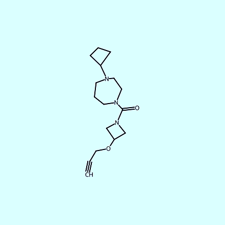 C#CCOC1CN(C(=O)N2CCCN(C3CCC3)CC2)C1